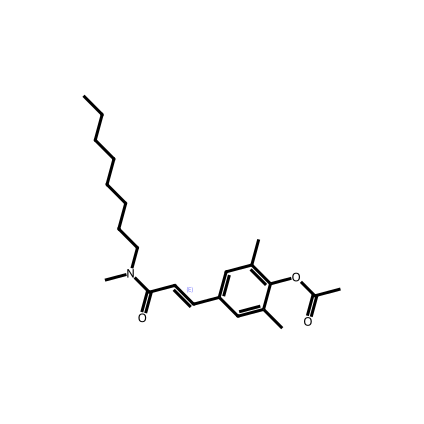 CCCCCCCCN(C)C(=O)/C=C/c1cc(C)c(OC(C)=O)c(C)c1